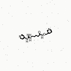 N=C(NCCCCC(=O)NOCc1cccnc1)Nc1ccncc1